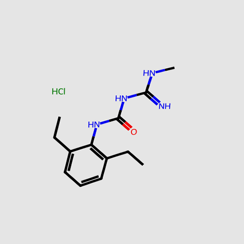 CCc1cccc(CC)c1NC(=O)NC(=N)NC.Cl